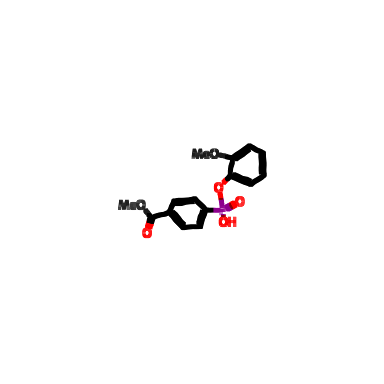 COC(=O)c1ccc(P(=O)(O)Oc2ccccc2OC)cc1